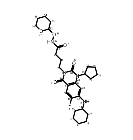 O=C(CCCn1c(=O)c2cc(F)c(NC3CCCCC3)cc2n(C2CCCC2)c1=O)NOC1CCCCO1